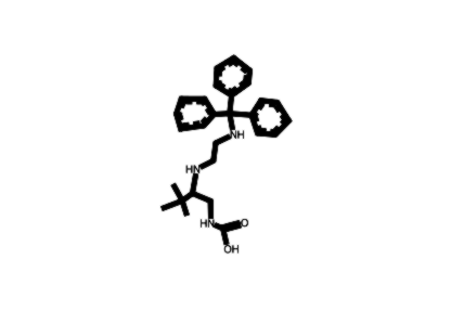 CC(C)(C)C(CNC(=O)O)NCCNC(c1ccccc1)(c1ccccc1)c1ccccc1